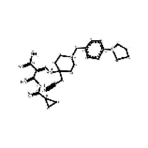 N#CCC1(N/C=C(\C(=N)NC(=O)C2CC2)C(N)=O)CCN(Cc2ccc(N3CCCC3)cc2)CC1